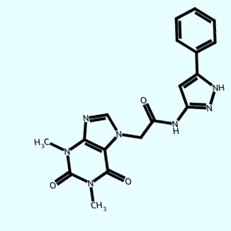 Cn1c(=O)c2c(ncn2CC(=O)Nc2cc(-c3ccccc3)[nH]n2)n(C)c1=O